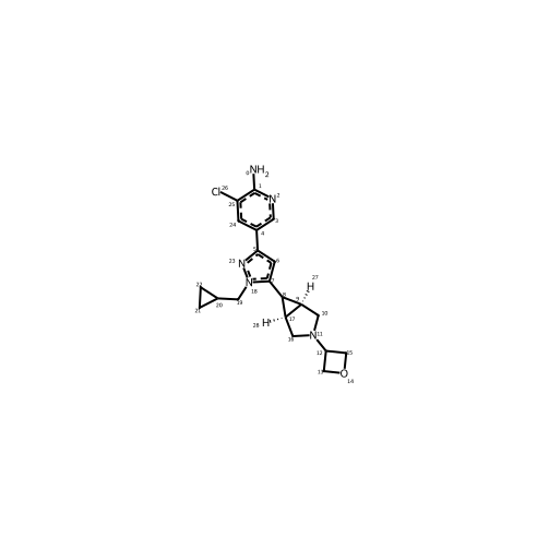 Nc1ncc(-c2cc(C3[C@H]4CN(C5COC5)C[C@@H]34)n(CC3CC3)n2)cc1Cl